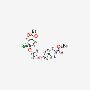 CCS(=O)(=O)c1ccc(OC2CC(OC3CC4(CCN(C(=O)OC(C)(C)C)CC4)C3)C2)c(Br)c1